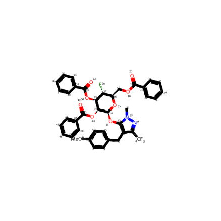 COc1ccc(Cc2c(C(F)(F)F)nn(C)c2O[C@@H]2O[C@H](COC(=O)c3ccccc3)[C@@H](F)[C@H](OC(=O)c3ccccc3)[C@H]2OC(=O)c2ccccc2)cc1